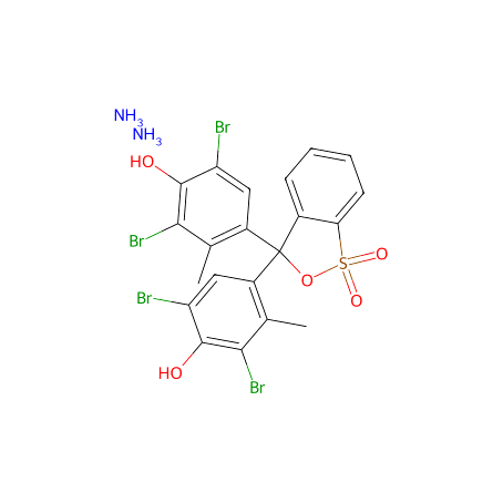 Cc1c(C2(c3cc(Br)c(O)c(Br)c3C)OS(=O)(=O)c3ccccc32)cc(Br)c(O)c1Br.N.N